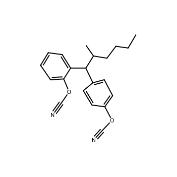 CCCCC(C)C(c1ccc(OC#N)cc1)c1ccccc1OC#N